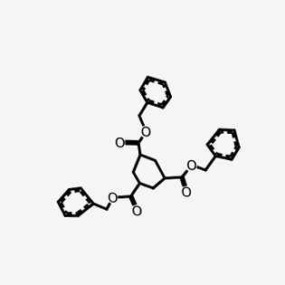 O=C(OCc1ccccc1)C1CC(C(=O)OCc2ccccc2)CC(C(=O)OCc2ccccc2)C1